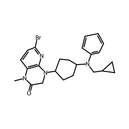 CN1C(=O)CN(C2CCC(N(CC3CC3)c3ccccc3)CC2)c2nc(Br)ccc21